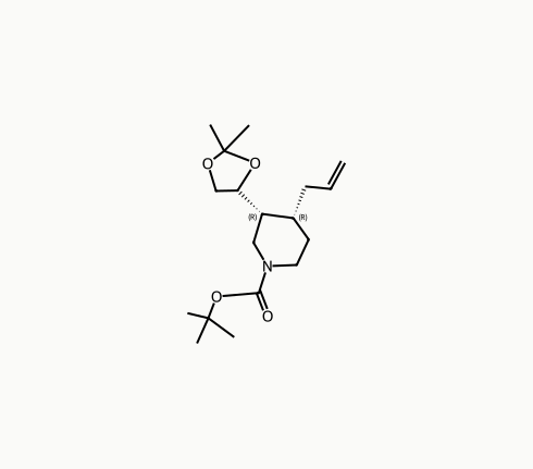 C=CC[C@@H]1CCN(C(=O)OC(C)(C)C)C[C@@H]1C1COC(C)(C)O1